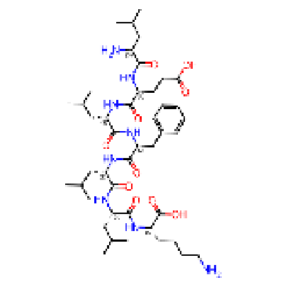 CC(C)C[C@H](NC(=O)[C@H](CC(C)C)NC(=O)[C@H](Cc1ccccc1)NC(=O)[C@H](CC(C)C)NC(=O)[C@H](CCC(=O)O)NC(=O)[C@@H](N)CC(C)C)C(=O)N[C@@H](CCCCN)C(=O)O